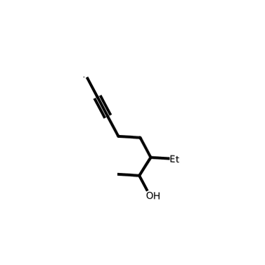 [CH2]C#CCCC(CC)C(C)O